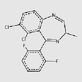 CC1C=Nc2ccc(Cl)c(Cl)c2C(c2c(F)cccc2F)=N1